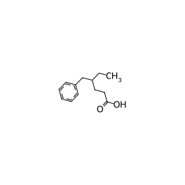 CCC(CCC(=O)O)Cc1ccccc1